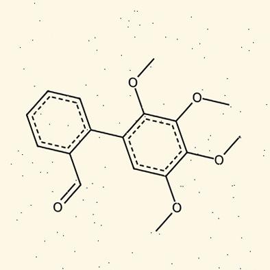 COc1cc(-c2ccccc2C=O)c(OC)c(OC)c1OC